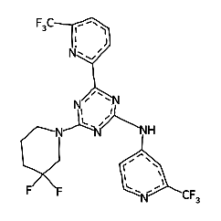 FC1(F)CCCN(c2nc(Nc3ccnc(C(F)(F)F)c3)nc(-c3cccc(C(F)(F)F)n3)n2)C1